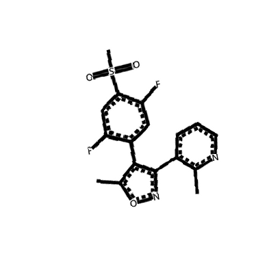 Cc1ncccc1-c1noc(C)c1-c1cc(F)c(S(C)(=O)=O)cc1F